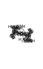 CN[C@@H](C)C(=O)N[C@H](C(=O)N1C[C@@H](NC(=O)c2ccc(C(=O)N[C@H]3C[C@@H](C(=O)N[C@@H]4CCOc5ccccc54)N(C(=O)[C@@H](NC(=O)[C@H](C)NC)C4CCNCC4)C3)cc2)C[C@H]1C(=O)N[C@@H]1CCOc2ccccc21)C1CCNCC1